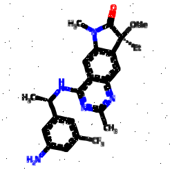 CC[C@@]1(OC)C(=O)N(C)c2cc3c(N[C@H](C)c4cc(N)cc(C(F)(F)F)c4)nc(C)nc3cc21